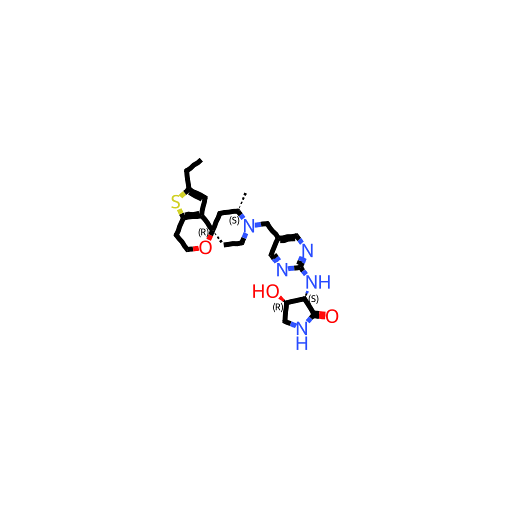 CCc1cc2c(s1)CCO[C@@]21CCN(Cc2cnc(N[C@@H]3C(=O)NC[C@H]3O)nc2)[C@@H](C)C1